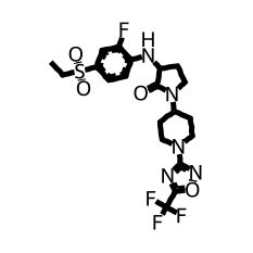 CCS(=O)(=O)c1ccc(NC2CCN(C3CCN(c4noc(C(F)(F)F)n4)CC3)C2=O)c(F)c1